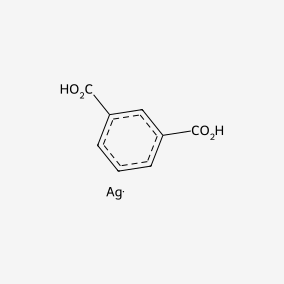 O=C(O)c1cccc(C(=O)O)c1.[Ag]